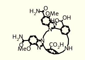 COc1c(C(N)=O)ccc2c1nc1n2CCn2c(nc3c(OC)c(C(N)=O)ccc32)-c2cc(ccc2C(O)O)CCNCc2ccc-1c(C(=O)O)c2